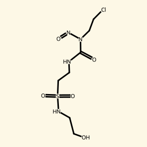 O=NN(CCCl)C(=O)NCCS(=O)(=O)NCCO